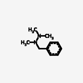 CN(C)N(C)Cc1ccccc1